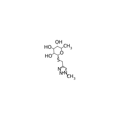 CC1O[C@@H](SCc2cn(C)nn2)C(O)C(O)[C@@H]1O